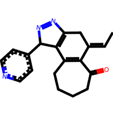 CC=C1CC2=C(C3=C1C(=O)CCCC3)C(c1ccncc1)N=N2